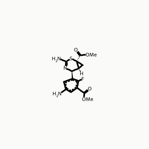 COC(=O)c1cc(N)cc([C@H]2N=C(N)S[C@@]3(C(=O)OC)C[C@@H]23)c1F